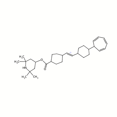 CC1(C)CC(OC(=O)C2CCC(/C=C/C3CCC(C4C=CC=CC=C4)CC3)CC2)CC(C)(C)N1